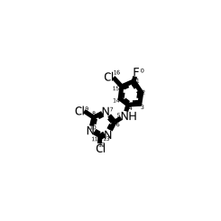 Fc1ccc(Nc2nc(Cl)nc(Cl)n2)cc1Cl